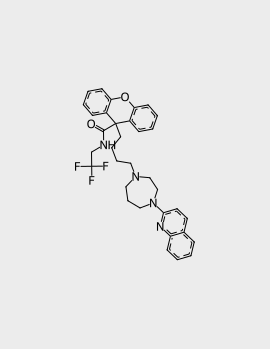 O=C(NCC(F)(F)F)C1(CCCCN2CCCN(c3ccc4ccccc4n3)CC2)c2ccccc2Oc2ccccc21